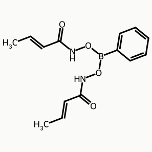 CC=CC(=O)NOB(ONC(=O)C=CC)c1ccccc1